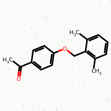 CC(=O)c1ccc(OCc2c(C)cccc2C)cc1